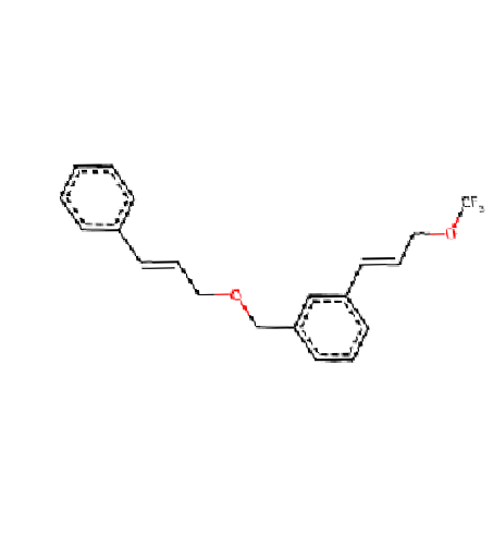 FC(F)(F)OC/C=C/c1cccc(COC/C=C/c2ccccc2)c1